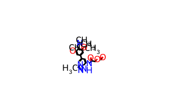 COc1cc(-c2cc(NC(=O)COC=O)c3nnc(C)n3c2)cc(OC)c1CN(C)C